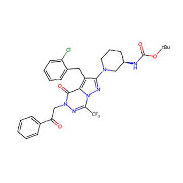 CC(C)(C)OC(=O)N[C@@H]1CCCN(c2nn3c(C(F)(F)F)nn(CC(=O)c4ccccc4)c(=O)c3c2Cc2ccccc2Cl)C1